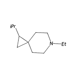 CCN1CCC2(CC1)CC2C(C)C